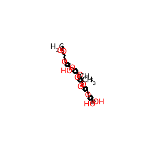 C=CC(=O)OCCCCOc1ccc(C(O)Oc2ccc(C(=O)Oc3ccc(OC(=O)c4ccc(COc5ccc(B(O)O)cc5)cc4)c(C)c3C)cc2)cc1